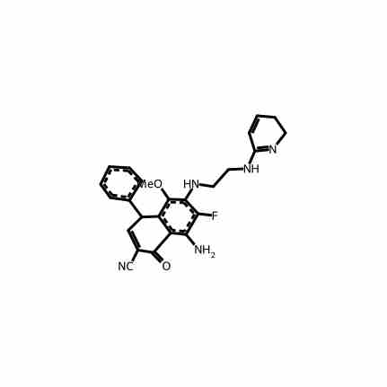 COc1c(NCCNC2=NCCC=C2)c(F)c(N)c2c1C(c1ccccc1)C=C(C#N)C2=O